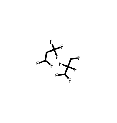 FC(F)CC(F)(F)F.FCC(F)(F)C(F)F